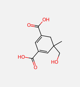 CC1(CO)C=C(C(=O)O)C=C(C(=O)O)C1